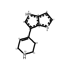 C1=C(c2c[nH]c3ccsc23)CCNC1